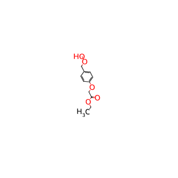 CCOC(=O)COc1ccc(COO)cc1